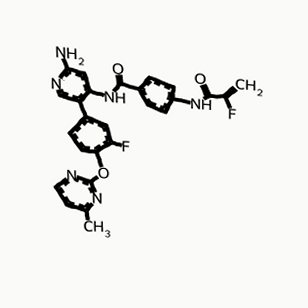 C=C(F)C(=O)Nc1ccc(C(=O)Nc2cc(N)ncc2-c2ccc(Oc3nccc(C)n3)c(F)c2)cc1